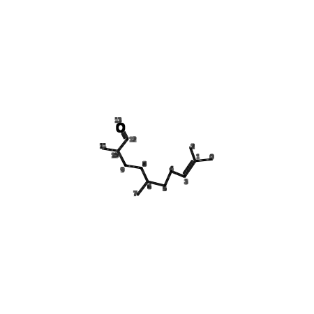 CC(C)=CCCC(C)CCC(C)C=O